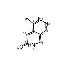 Cc1nncc2c[nH]c(=O)cc12